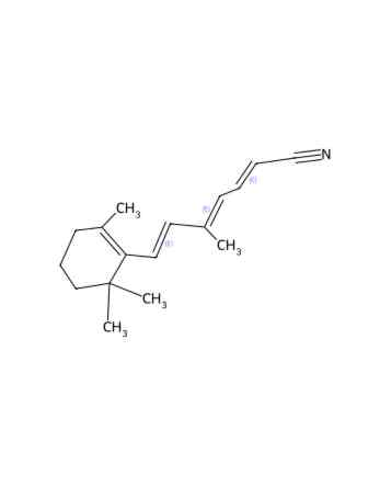 CC1=C(/C=C/C(C)=C/C=C/C#N)C(C)(C)CCC1